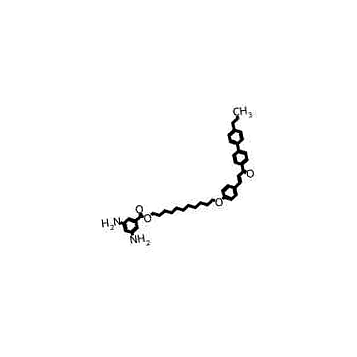 CCCc1ccc(-c2ccc(C(=O)C=Cc3ccc(OCCCCCCCCCCCOC(=O)c4cc(N)cc(N)c4)cc3)cc2)cc1